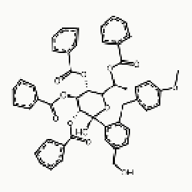 COc1ccc(Cc2ccc(CO)cc2[C@@]2(O)O[C@H]([C@H](C)OC(=O)c3ccccc3)[C@@H](OC(=O)c3ccccc3)[C@H](OC(=O)c3ccccc3)[C@H]2OC(=O)c2ccccc2)cc1